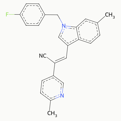 Cc1ccc2c(/C=C(\C#N)c3ccc(C)nc3)cn(Cc3ccc(F)cc3)c2c1